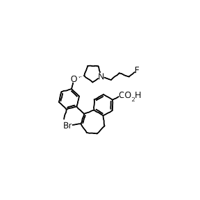 Cc1ccc(O[C@@H]2CCN(CCCF)C2)cc1C1=C(Br)CCCc2cc(C(=O)O)ccc21